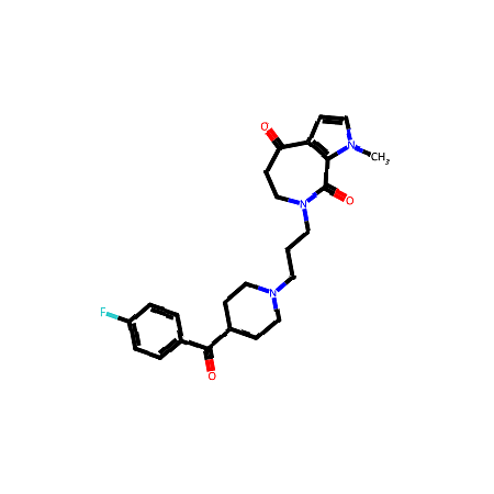 Cn1ccc2c1C(=O)N(CCCN1CCC(C(=O)c3ccc(F)cc3)CC1)CCC2=O